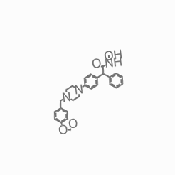 O=C(NO)C(c1ccccc1)c1ccc(N2CCN(Cc3ccc4c(c3)OCO4)CC2)cc1